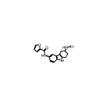 CCNC1CCc2[nH]c3ccc(NC(=O)c4ccco4)cc3c2C1